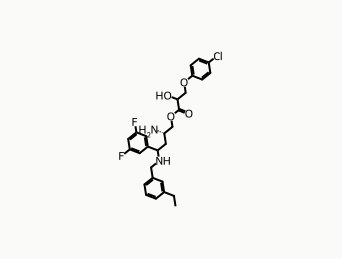 CCc1cccc(CNC(C[C@H](N)COC(=O)C(O)COc2ccc(Cl)cc2)c2cc(F)cc(F)c2)c1